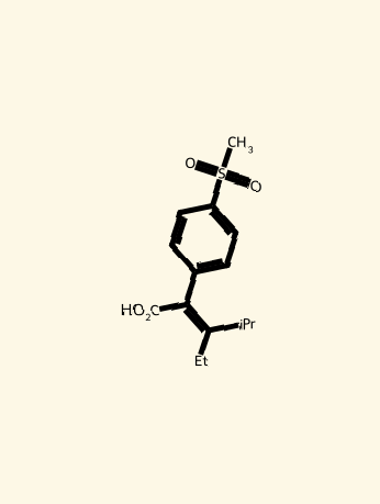 CCC(=C(C(=O)O)c1ccc(S(C)(=O)=O)cc1)C(C)C